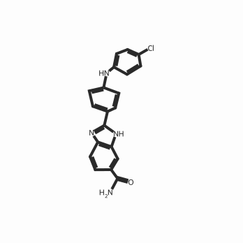 NC(=O)c1ccc2nc(-c3ccc(Nc4ccc(Cl)cc4)cc3)[nH]c2c1